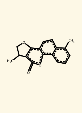 Cc1cccc2c1ccc1c3c(c(=O)oc12)C(C)CO3